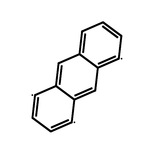 [c]1cc[c]c2cc3ccc[c]c3cc12